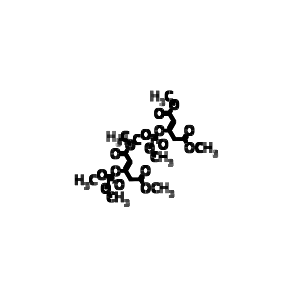 COC(=O)C=C(CC(=O)OC)OP(=O)(OC)OC.COC(=O)C=C(CC(=O)OC)OP(=O)(OC)OC